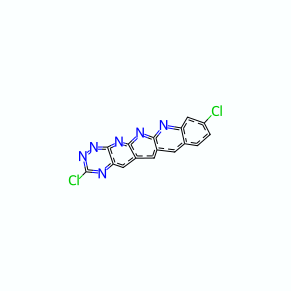 Clc1ccc2cc3cc4cc5nc(Cl)nnc5nc4nc3nc2c1